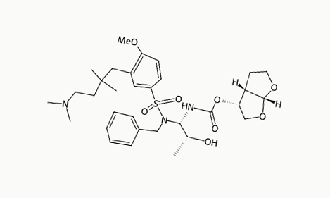 COc1ccc(S(=O)(=O)N(Cc2ccccc2)[C@H](NC(=O)O[C@H]2CO[C@H]3OCC[C@H]32)[C@@H](C)O)cc1CC(C)(C)CCN(C)C